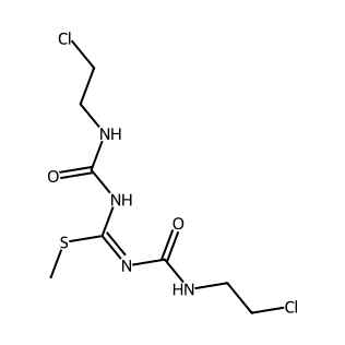 CSC(=NC(=O)NCCCl)NC(=O)NCCCl